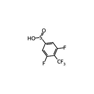 O=S(O)c1cc(F)c(C(F)(F)F)c(F)c1